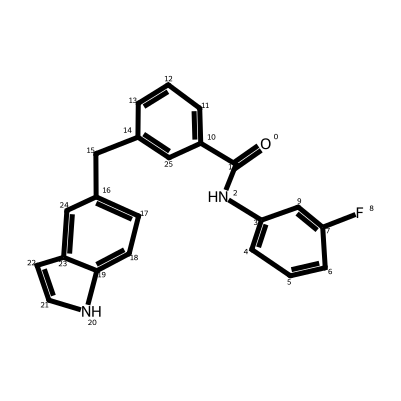 O=C(Nc1cccc(F)c1)c1cccc(Cc2ccc3[nH]ccc3c2)c1